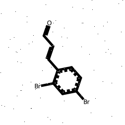 O=CC=Cc1ccc(Br)cc1Br